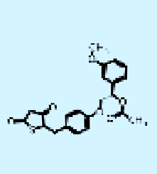 COc1cccc([C@@H](COc2ccc(CC3SC(=O)CC3=O)cc2)OC(C)=O)c1